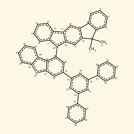 CC1(C)c2ccccc2-c2cc3c4ccccc4n(-c4cc(-c5nc(-c6ccccc6)nc(-c6ccccc6)n5)cc5sc6ccccc6c45)c3cc21